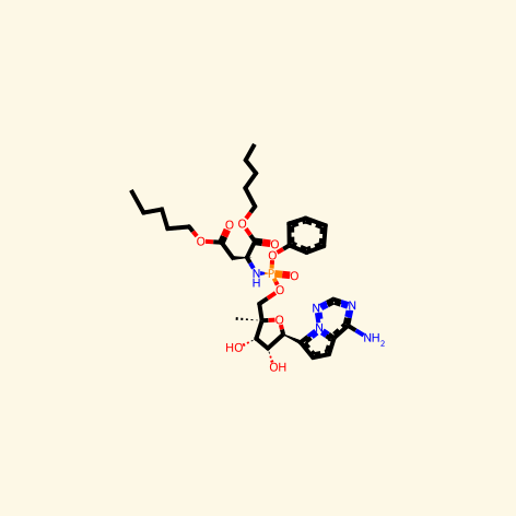 CCCCCOC(=O)C[C@H](N[P@@](=O)(OC[C@@]1(C)O[C@@H](c2ccc3c(N)ncnn23)[C@H](O)[C@@H]1O)Oc1ccccc1)C(=O)OCCCCC